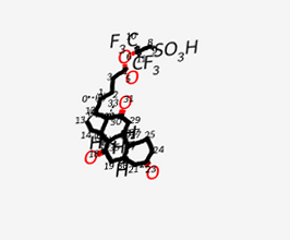 C[C@H](CCC(=O)OC(CS(=O)(=O)O)(C(F)(F)F)C(F)(F)F)[C@H]1CC[C@H]2[C@@H]3C(=O)C[C@@H]4CC(=O)CC[C@]4(C)[C@H]3CC(=O)[C@]12C